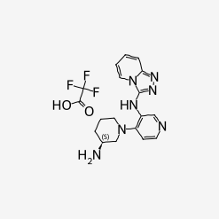 N[C@H]1CCCN(c2ccncc2Nc2nnc3ccccn23)C1.O=C(O)C(F)(F)F